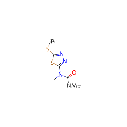 CNC(=O)N(C)c1nnc(SC(C)C)s1